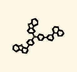 c1cc(-c2ccc(N(c3ccc(-c4cccc5c4sc4ccccc45)cc3)c3ccc4sc5ccccc5c4c3)cc2)cc(-c2cccc3ccccc23)c1